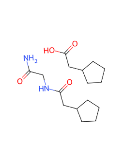 NC(=O)CNC(=O)CC1CCCC1.O=C(O)CC1CCCC1